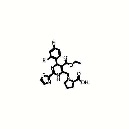 CCOC(=O)C1=C(CN2CCCC2C(=O)O)NC(c2nccs2)=NC1c1ccc(F)cc1Br